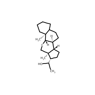 CC(O)[C@H]1CC[C@H]2[C@@H]3CCC4CCCC[C@]4(C)[C@H]3CC[C@]12C